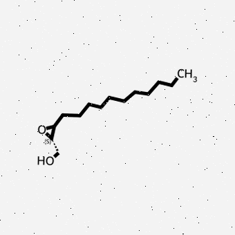 CCCCCCCCCCCC1O[C@H]1CO